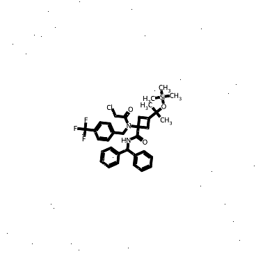 CC(C)(O[Si](C)(C)C)C1CC(C(=O)NC(c2ccccc2)c2ccccc2)(N(Cc2ccc(C(F)(F)F)cc2)C(=O)CCl)C1